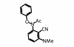 CNc1cccc(N(Oc2ccccc2)C(C)=O)c1C#N